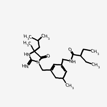 CCC(CC)C(=O)NCC1=CC(C)CC(CN2C(=N)NC(C)(CC(C)C)C2=O)=C1